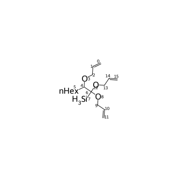 C=CCOC(CCCCCC)C([SiH3])(OCC=C)OCC=C